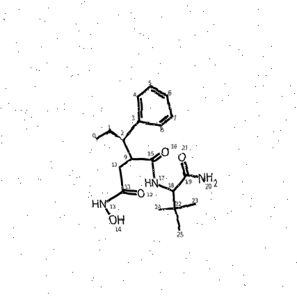 CC[C@@H](c1ccccc1)C(CC(=O)NO)C(=O)NC(C(N)=O)C(C)(C)C